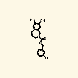 Oc1cc2c(cc1O)CN(C(=S)NCc1cccc(Cl)c1)CCC2